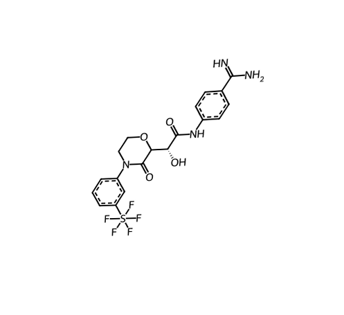 N=C(N)c1ccc(NC(=O)[C@H](O)C2OCCN(c3cccc(S(F)(F)(F)(F)F)c3)C2=O)cc1